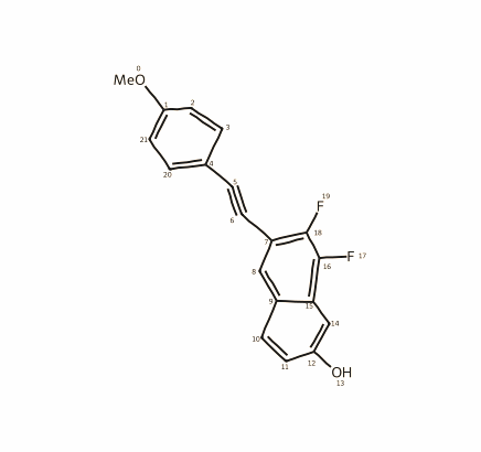 COc1ccc(C#Cc2cc3ccc(O)cc3c(F)c2F)cc1